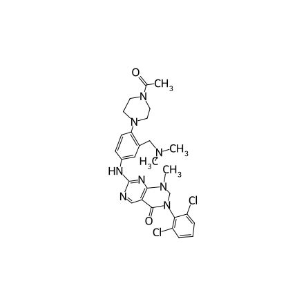 CC(=O)N1CCN(c2ccc(Nc3ncc4c(n3)N(C)CN(c3c(Cl)cccc3Cl)C4=O)cc2CN(C)C)CC1